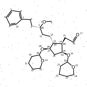 CO[C@@H](CCc1ccccc1)CC[C@@H]1[C@@H](CC=O)[C@@H](OC2CCCCO2)C[C@H]1OC1CCCCO1